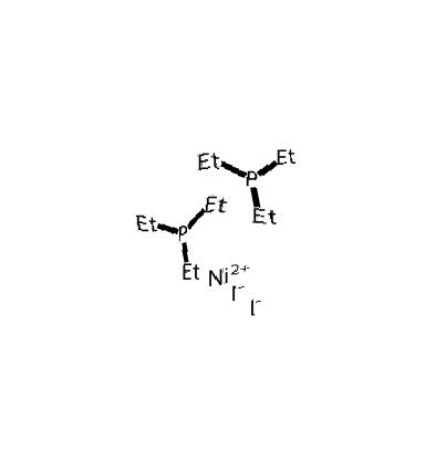 CCP(CC)CC.CCP(CC)CC.[I-].[I-].[Ni+2]